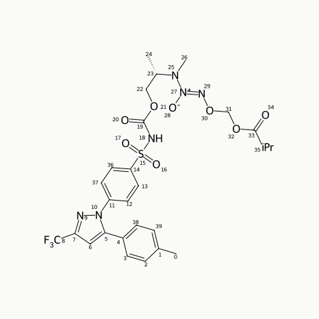 Cc1ccc(-c2cc(C(F)(F)F)nn2-c2ccc(S(=O)(=O)NC(=O)OC[C@H](C)N(C)[N+]([O-])=NOCOC(=O)C(C)C)cc2)cc1